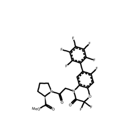 COC(=O)[C@H]1CCCN1C(=O)CN1C(=O)C(F)(F)Oc2cc(F)c(-c3c(F)c(F)c(F)c(F)c3F)cc21